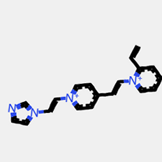 C=Cc1cccc[n+]1/C=C/c1cc[n+](/C=C/n2ccnc2)cc1